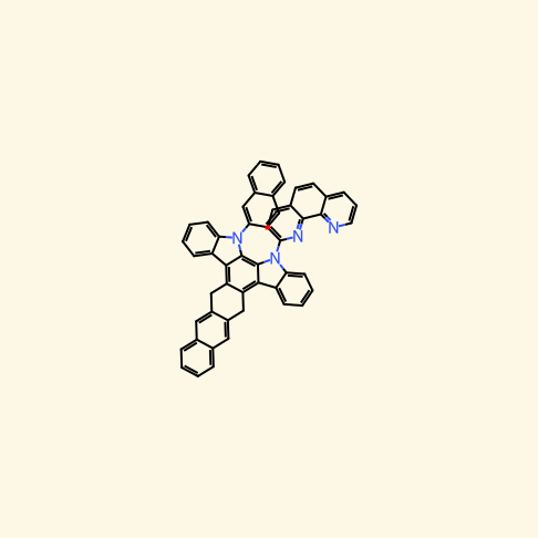 c1ccc2cc(-n3c4ccccc4c4c5c(c6c7ccccc7n(-c7ccc8ccc9cccnc9c8n7)c6c43)Cc3cc4ccccc4cc3C5)ccc2c1